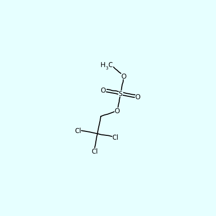 COS(=O)(=O)OCC(Cl)(Cl)Cl